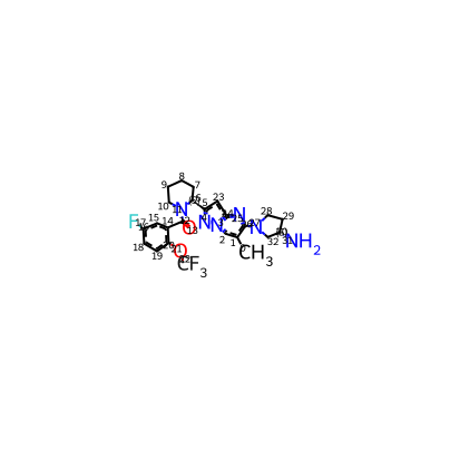 Cc1cn2nc([C@@H]3CCCCN3C(=O)c3cc(F)ccc3OC(F)(F)F)cc2nc1N1CC[C@H](N)C1